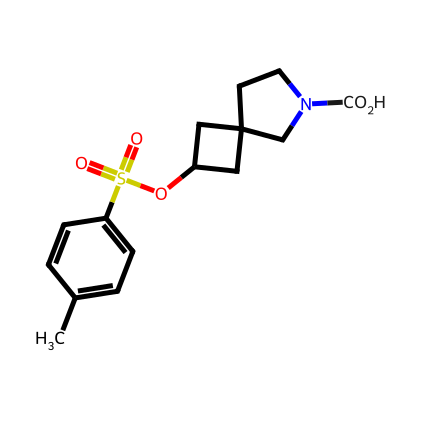 Cc1ccc(S(=O)(=O)OC2CC3(CCN(C(=O)O)C3)C2)cc1